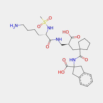 CS(=O)(=O)N[C@@H](CCCCN)C(=O)NC[C@H](CC1(C(=O)NC2(C(=O)O)Cc3ccccc3C2)CCCC1)C(=O)O